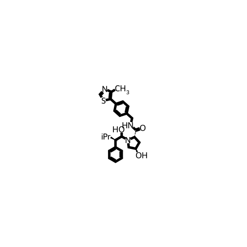 Cc1ncsc1-c1ccc(CNC(=O)[C@@H]2C[C@@H](O)CN2C(O)[C@@H](c2ccccc2)C(C)C)cc1